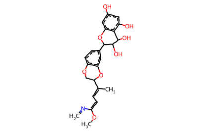 C=N/C(=C\C=C(/C)C1COc2ccc(C3Oc4cc(O)cc(O)c4C(O)C3O)cc2O1)OC